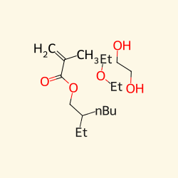 C=C(C)C(=O)OCC(CC)CCCC.CCOCC.OCCO